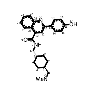 CNC[C@H]1CC[C@H](CNC(=O)c2cc(-c3ccc(O)cc3)nc3ccccc23)CC1